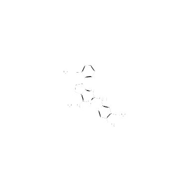 CNc1nc(Nc2ccc(C#N)c(OC)c2)nc2c1CC[C@H]2c1ccccc1OC